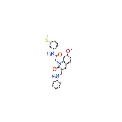 COc1ccc2cc(CNc3ccccc3)c(=O)n(CC(=O)Nc3cccc(SC)c3)c2c1